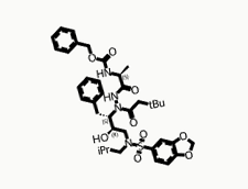 CC(C)CN(C[C@@H](O)[C@H](Cc1ccccc1)N(NC(=O)[C@H](C)NC(=O)OCc1ccccc1)C(=O)CC(C)(C)C)S(=O)(=O)c1ccc2c(c1)OCO2